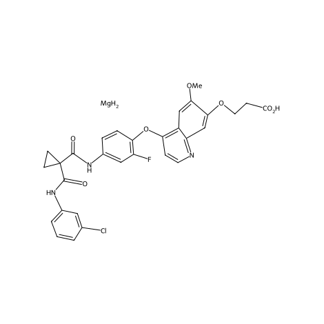 COc1cc2c(Oc3ccc(NC(=O)C4(C(=O)Nc5cccc(Cl)c5)CC4)cc3F)ccnc2cc1OCCC(=O)O.[MgH2]